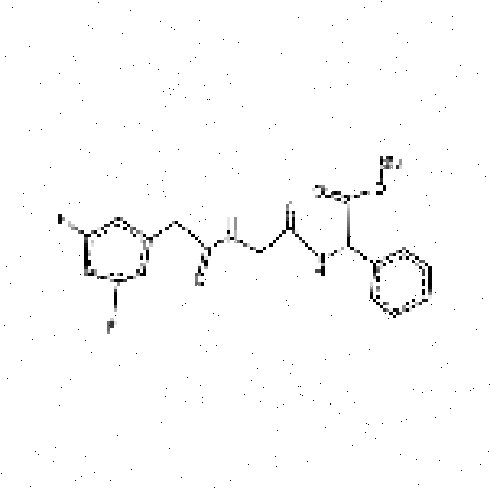 CC(C)(C)OC(=O)[C@@H](NC(=O)CNC(=O)Cc1cc(F)cc(F)c1)c1ccccc1